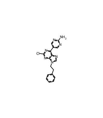 Nc1ncc(-c2nc(Cl)nc3c2ncn3CCc2ccccc2)cn1